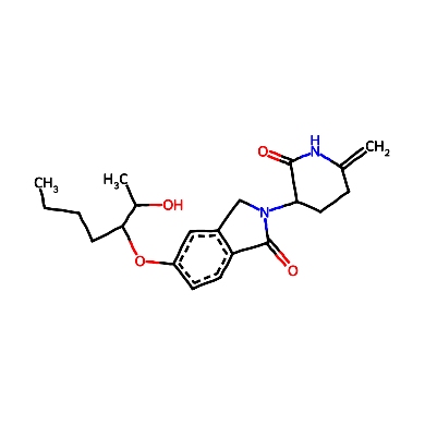 C=C1CCC(N2Cc3cc(OC(CCCC)C(C)O)ccc3C2=O)C(=O)N1